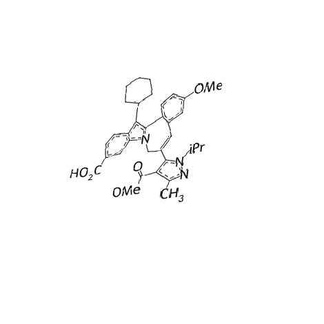 COC(=O)c1c(C)nn(C(C)C)c1C1=Cc2cc(OC)ccc2-c2c(C3CCCCC3)c3ccc(C(=O)O)cc3n2C1